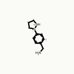 NCc1ccc(N2CCCN2)cc1